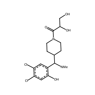 CNC(c1cc(Cl)c(Cl)cc1O)C1CCN(C(=O)C(O)CO)CC1